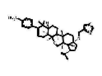 C=C(C)[C@@H]1CC[C@]2(NCc3cscn3)CC[C@]3(C)[C@H](CC[C@@H]4[C@@]5(C)CC=C(c6ccc(C(=O)O)cc6)C(C)(C)[C@@H]5CC[C@]43C)[C@@H]12